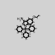 CCOc1ccc2c(c1)c(N)nn2C(c1ccccc1)(c1ccccc1)c1ccccc1